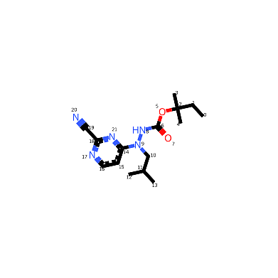 CCC(C)(C)OC(=O)NN(CC(C)C)c1ccnc(C#N)n1